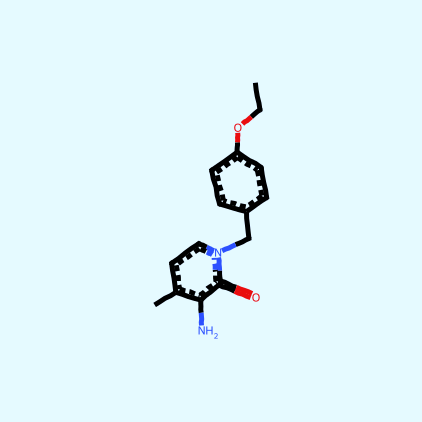 CCOc1ccc(Cn2ccc(C)c(N)c2=O)cc1